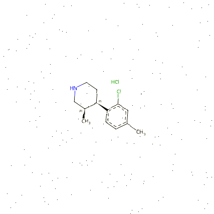 Cc1ccc([C@@H]2CCNC[C@@H]2C)c(Cl)c1.Cl